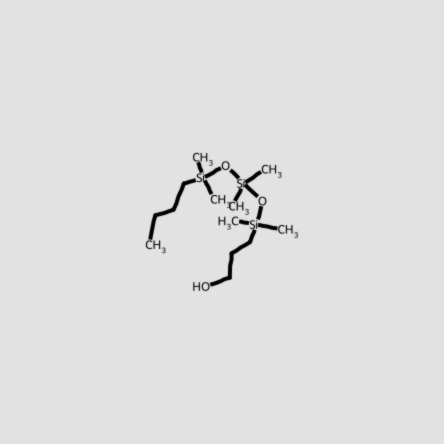 CCCC[Si](C)(C)O[Si](C)(C)O[Si](C)(C)CCCO